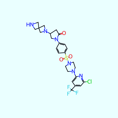 O=C1CC(N2CC3(CNC3)C2)CN1c1ccc(S(=O)(=O)N2CCN(c3cc(C(F)(F)F)cc(Cl)n3)CC2)cc1